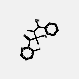 CC(C(O)c1ccccc1)C(C)(N)C(=O)c1ncccc1I